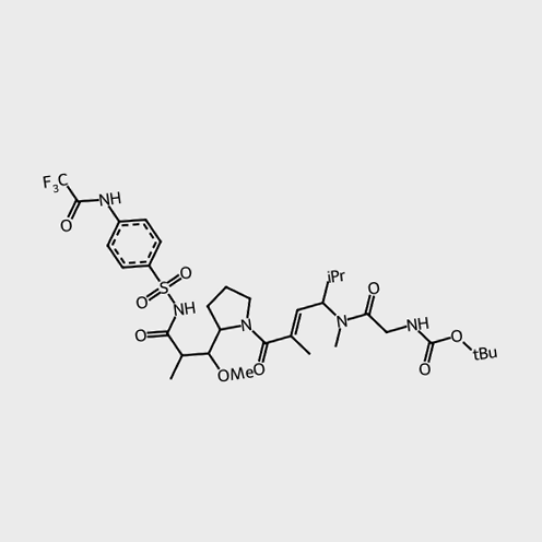 COC(C(C)C(=O)NS(=O)(=O)c1ccc(NC(=O)C(F)(F)F)cc1)C1CCCN1C(=O)/C(C)=C/C(C(C)C)N(C)C(=O)CNC(=O)OC(C)(C)C